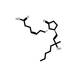 CCCCCC(C)(O)C=C[C@@H]1CCC(=O)[C@H]1CC/C=C\CCC(=O)O